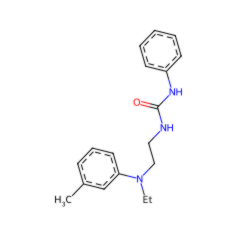 CCN(CCNC(=O)Nc1ccccc1)c1cccc(C)c1